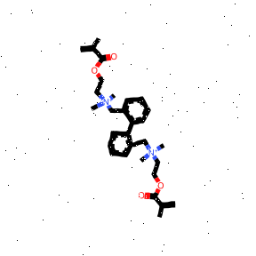 C=C(C)C(=O)OCC[N+](C)(C)Cc1ccccc1-c1ccccc1C[N+](C)(C)CCOC(=O)C(=C)C